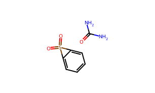 NC(N)=O.O=S1(=O)c2ccccc21